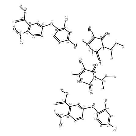 CCC(C)n1c(=O)[nH]c(C)c(Br)c1=O.CCC(C)n1c(=O)[nH]c(C)c(Br)c1=O.COC(=O)c1cc(Oc2ccc(Cl)cc2Cl)ccc1[N+](=O)[O-].COC(=O)c1cc(Oc2ccc(Cl)cc2Cl)ccc1[N+](=O)[O-]